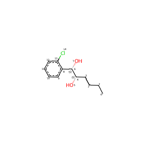 CCCC[C@H](O)[C@@H](O)c1ccccc1Cl